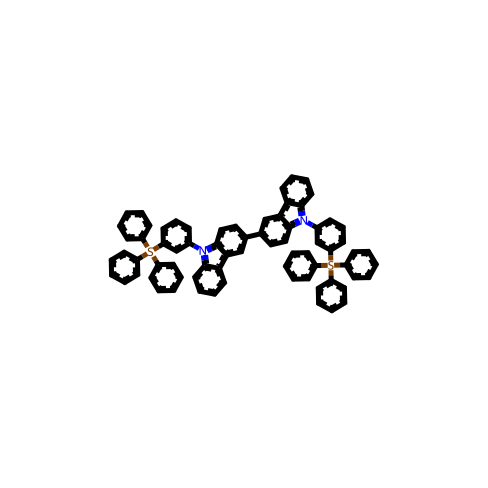 c1ccc(S(c2ccccc2)(c2ccccc2)c2cccc(-n3c4ccccc4c4cc(-c5ccc6c(c5)c5ccccc5n6-c5cccc(S(c6ccccc6)(c6ccccc6)c6ccccc6)c5)ccc43)c2)cc1